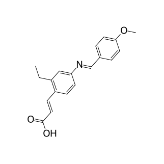 CCc1cc(/N=C/c2ccc(OC)cc2)ccc1/C=C/C(=O)O